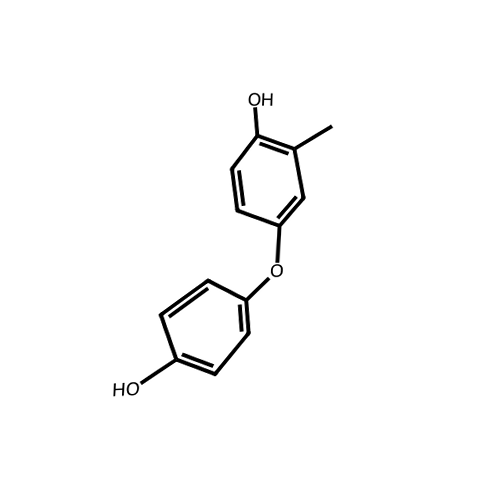 Cc1cc(Oc2ccc(O)cc2)ccc1O